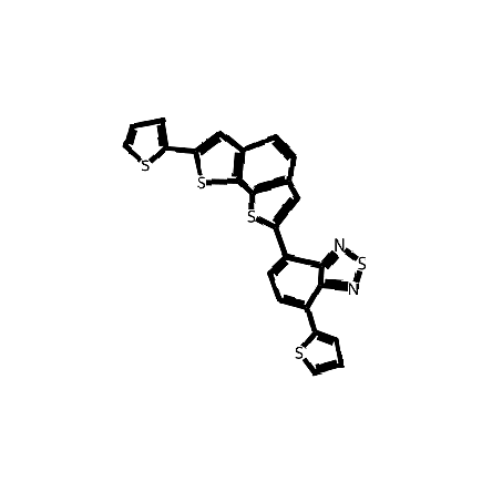 c1csc(-c2cc3ccc4cc(-c5ccc(-c6cccs6)c6nsnc56)sc4c3s2)c1